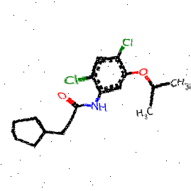 CC(C)Oc1cc(NC(=O)CC2[CH]CCC2)c(Cl)cc1Cl